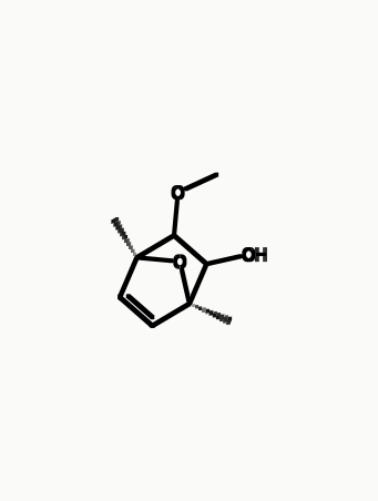 COC1C(O)[C@@]2(C)C=C[C@]1(C)O2